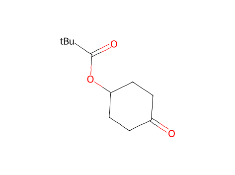 CC(C)(C)C(=O)OC1CCC(=O)CC1